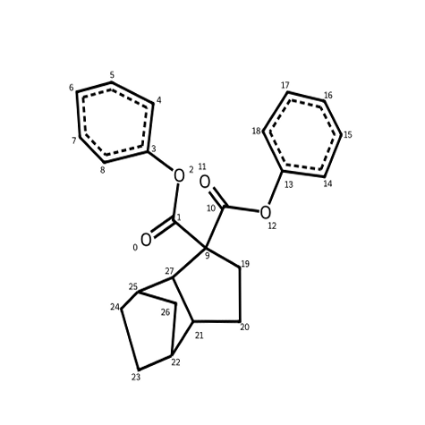 O=C(Oc1ccccc1)C1(C(=O)Oc2ccccc2)CCC2C3CCC(C3)C21